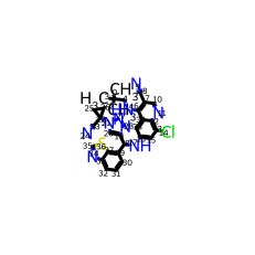 CC(C)(C)CNc1c(C#N)cnc2c(Cl)cc(NC(c3cn(C4(C#N)CC4)nn3)c3cccc4ncsc34)cc12